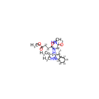 CNC(=O)[C@H](Cc1c(CC(C)C)[nH]c2ccccc12)NC(=O)CCC(=O)OC